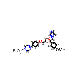 CCOC(=O)N1CCN(c2ccc(OCC3COC(Cn4ccnc4)(c4ccc(OC)cc4)O3)cc2)CC1